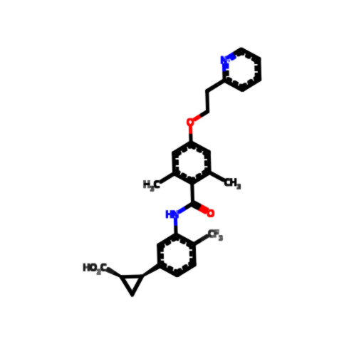 Cc1cc(OCCc2ccccn2)cc(C)c1C(=O)Nc1cc([C@H]2C[C@H]2C(=O)O)ccc1C(F)(F)F